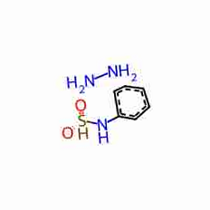 NN.O=[SH](=O)Nc1ccccc1